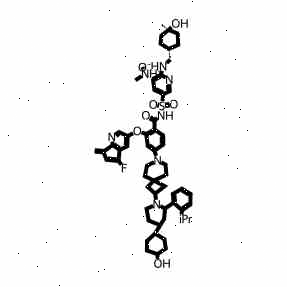 C=C1C=C(F)c2cc(Oc3cc(N4CCC5(CC4)CC(N4CCC(C6CCC(O)CC6)CC4c4ccccc4C(C)C)C5)ccc3C(=O)NS(=O)(=O)c3cnc(NC[C@H]4CC[C@](C)(O)CC4)c([NH+](C)[O-])c3)cnc21